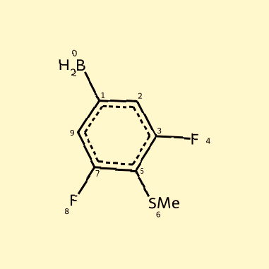 Bc1cc(F)c(SC)c(F)c1